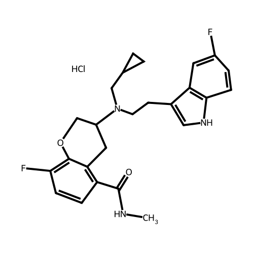 CNC(=O)c1ccc(F)c2c1CC(N(CCc1c[nH]c3ccc(F)cc13)CC1CC1)CO2.Cl